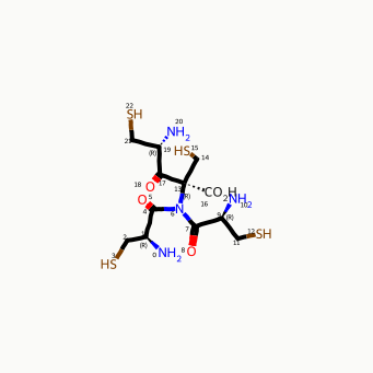 N[C@@H](CS)C(=O)N(C(=O)[C@@H](N)CS)[C@@](CS)(C(=O)O)C(=O)[C@@H](N)CS